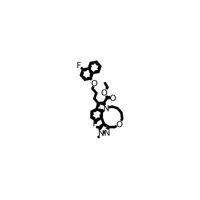 CCOC(=O)c1c(CCCOc2ccc(F)c3ccccc23)c2ccc(F)c3c2n1CCCCOCc1nn(C)c(C)c1-3